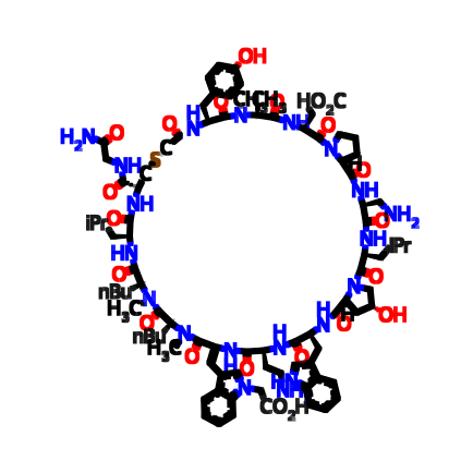 CCCC[C@H]1C(=O)N(C)[C@@H](CCCC)C(=O)N[C@@H](CC(C)C)C(=O)N[C@H](C(=O)NCC(N)=O)CSCC(=O)N[C@@H](Cc2ccc(O)cc2)C(=O)N(C)[C@@H](C)C(=O)N[C@@H](CC(=O)O)C(=O)N2CCC[C@H]2C(=O)N[C@@H](CN)C(=O)N[C@@H](CC(C)C)C(=O)N2C[C@H](O)C[C@H]2C(=O)N[C@@H](Cc2c[nH]c3ccccc23)C(=O)N[C@@H](CCN)C(=O)N/C(=C\c2cn(CC(=O)O)c3ccccc23)C(=O)N1C